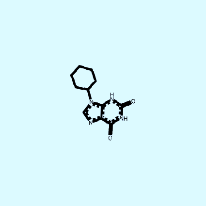 O=c1[nH]c(=O)c2ncn(C3CCCCC3)c2[nH]1